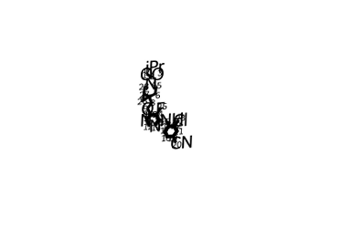 CC(C)OC(=O)N1CCC2(COc3ncnc(Nc4ccc(C#N)cc4Cl)c3F)CC2C1